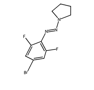 Fc1cc(Br)cc(F)c1N=NN1CCCC1